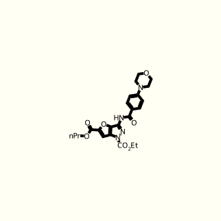 CCCOC(=O)c1cc2c(o1)c(NC(=O)c1ccc(N3CCOCC3)cc1)nn2C(=O)OCC